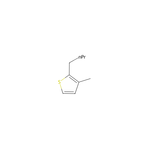 CCCCc1sccc1C